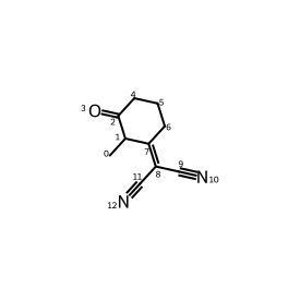 CC1C(=O)CCCC1=C(C#N)C#N